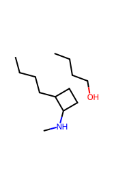 CCCCC1CCC1NC.CCCCO